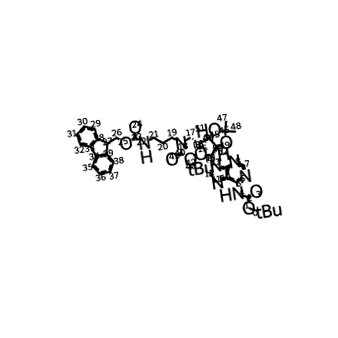 CC(C)(C)OC(=O)Nc1ncnc2c1ncn2[C@@H]1O[C@H](CN(CCCNC(=O)OCC2c3ccccc3-c3ccccc32)C(=O)OC(C)(C)C)[C@H]2OC(C)(C)O[C@H]21